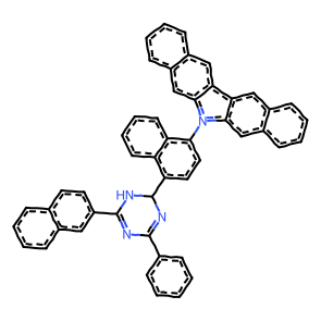 c1ccc(C2=NC(c3ccc(-n4c5cc6ccccc6cc5c5cc6ccccc6cc54)c4ccccc34)NC(c3ccc4ccccc4c3)=N2)cc1